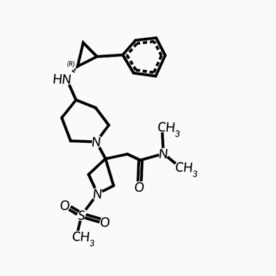 CN(C)C(=O)CC1(N2CCC(N[C@@H]3CC3c3ccccc3)CC2)CN(S(C)(=O)=O)C1